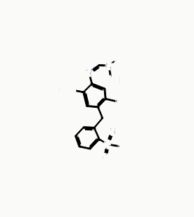 CCN(C)/C=N\c1cc(C)c(Cc2ccccc2S(C)(=N)=O)cc1C